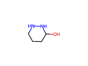 OC1CCCNN1